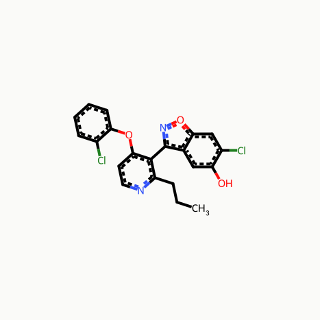 CCCc1nccc(Oc2ccccc2Cl)c1-c1noc2cc(Cl)c(O)cc12